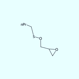 CCCCSOCC1CO1